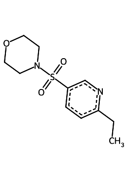 CCc1ccc(S(=O)(=O)N2CCOCC2)cn1